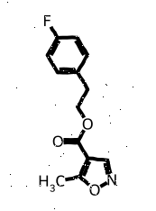 Cc1oncc1C(=O)OCCc1ccc(F)cc1